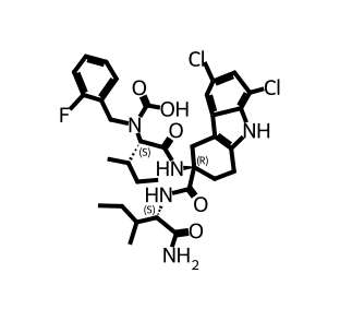 CCC(C)[C@H](NC(=O)[C@@]1(NC(=O)[C@H](C(C)CC)N(Cc2ccccc2F)C(=O)O)CCc2[nH]c3c(Cl)cc(Cl)cc3c2C1)C(N)=O